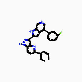 C/C=C\C(=C/C)c1ccc2[nH]nc(-c3cc4c(-c5cccc(F)c5)cncc4[nH]3)c2n1